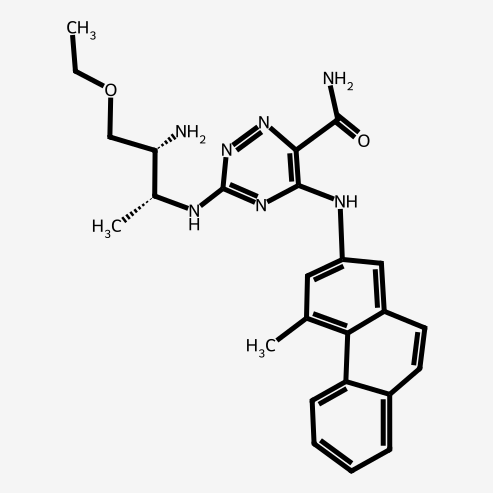 CCOC[C@H](N)[C@@H](C)Nc1nnc(C(N)=O)c(Nc2cc(C)c3c(ccc4ccccc43)c2)n1